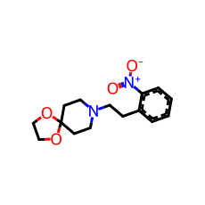 O=[N+]([O-])c1ccccc1CCN1CCC2(CC1)OCCO2